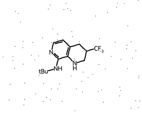 CC(C)(C)Nc1n[c]cc2c1NCC(C(F)(F)F)C2